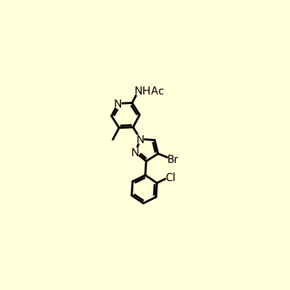 CC(=O)Nc1cc(-n2cc(Br)c(-c3ccccc3Cl)n2)c(C)cn1